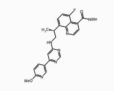 CNC(=O)c1ccnc2c([C@H](C)CNc3cc(-c4ccc(OC)nc4)ncn3)ccc(F)c12